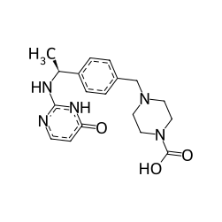 C[C@H](Nc1nccc(=O)[nH]1)c1ccc(CN2CCN(C(=O)O)CC2)cc1